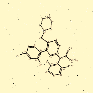 NC(=O)N(c1ccc(CN2CCNCC2)c(-c2ccc(F)cc2F)n1)c1c(F)cccc1F